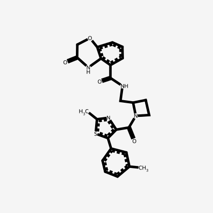 Cc1cccc(-c2sc(C)nc2C(=O)N2CCC2CNC(=O)c2cccc3c2NC(=O)CO3)c1